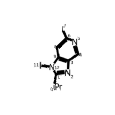 CC(C)c1nc2cnc(I)cc2n1I